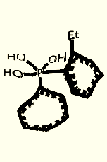 CCc1ccccc1P(O)(O)(O)c1ccccc1